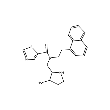 O=C(c1cncs1)N(CCc1cccc2ccccc12)CC1NCCC1S